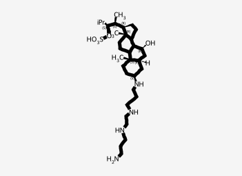 CC(C)[C@H](OS(=O)(=O)O)[C@@H](C)[C@H]1CCC2C3C(CC[C@@]21C)[C@@]1(C)CC[C@H](NCCCNCCNCCCN)C[C@@H]1C[C@H]3O